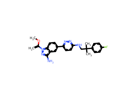 C=C(OC)n1nc(N)c2cc(-c3ccc(NCC(C)(C)c4ccc(F)cc4)nn3)ccc21